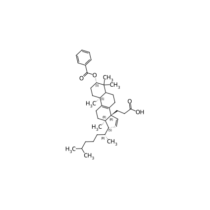 CC(C)CCC[C@@H](C)[C@H]1C=C[C@@]2(CCC(=O)O)C3=C(CC[C@]12C)[C@@]1(C)CC[C@H](OC(=O)c2ccccc2)C(C)(C)C1CC3